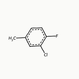 Cc1ccc(F)c(Cl)c1